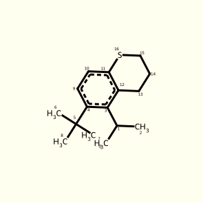 CC(C)c1c(C(C)(C)C)ccc2c1CCCS2